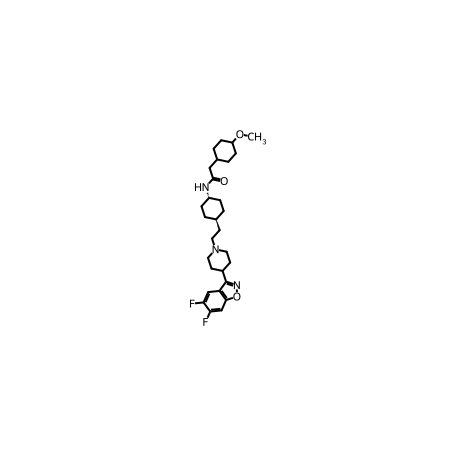 COC1CCC(CC(=O)N[C@H]2CC[C@H](CCN3CCC(c4noc5cc(F)c(F)cc45)CC3)CC2)CC1